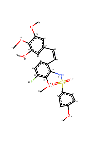 COc1ccc(S(=O)(=O)Nc2c(/C=C\c3cc(OC)c(OC)c(OC)c3)ccc(F)c2OC)cc1